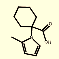 Cc1cccn1C1(C(=O)O)CCCCC1